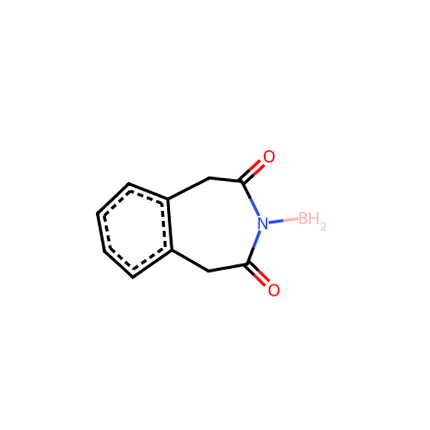 BN1C(=O)Cc2ccccc2CC1=O